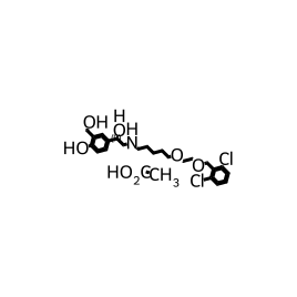 CC(=O)O.OCc1cc([C@@H](O)CNCCCCCOCCOCc2c(Cl)cccc2Cl)ccc1O